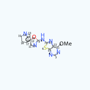 COc1ncnc2sc(NC3=NC[C@@]4(CN5CCC4CC5)O3)nc12